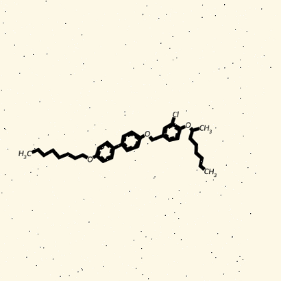 CCCCCCCCOc1ccc(-c2ccc(OCc3ccc(OC(C)CCCCCC)c(Cl)c3)cc2)cc1